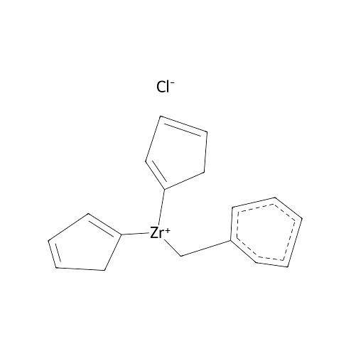 C1=CC[C]([Zr+]([CH2]c2ccccc2)[C]2=CC=CC2)=C1.[Cl-]